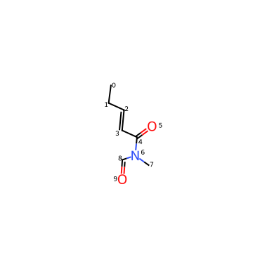 CC/C=C/C(=O)N(C)C=O